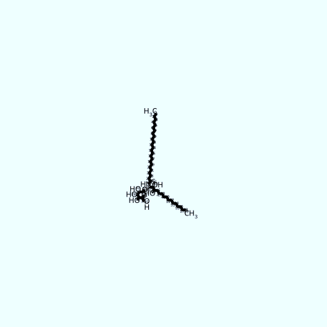 CCCCCCCCCCCCCCCCCCCCCCCCCC(=S)N[C@@H](COC1OC(CO)C(O)C(O)C1O)[C@H](O)[C@H](O)CCCCCCCCCCCCCC